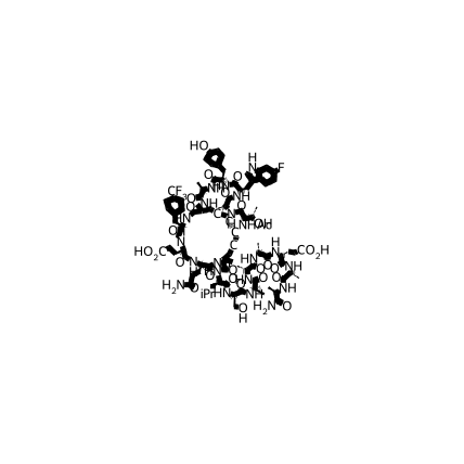 CC(=O)N[C@@H](C(=O)N[C@H](C)C(=O)N[C@H](Cc1c[nH]c2cc(F)ccc12)C(=O)N[C@H](Cc1ccc(O)cc1)C(=O)N[C@H](C)C(=O)NC1(C)CCCCCCCCC(C)(C(=O)N[C@H](CC(C)C)C(=O)N[C@H](CO)C(=O)N[C@H](C)C(=O)N[C@H](C)C(=O)N[C@H](C)C(=O)N[C@H](CCC(=O)O)C(=O)N[C@H](C)C(=O)N[C@H](C)C(N)=O)NC(=O)[C@@H](CCC(N)=O)NC(=O)[C@@H](CCC(=O)O)NC(=O)[C@@H](Cc2ccc(C(F)(F)F)cc2)NC1=O)[C@H](C)O